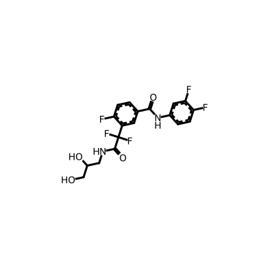 O=C(Nc1ccc(F)c(F)c1)c1ccc(F)c(C(F)(F)C(=O)NCC(O)CO)c1